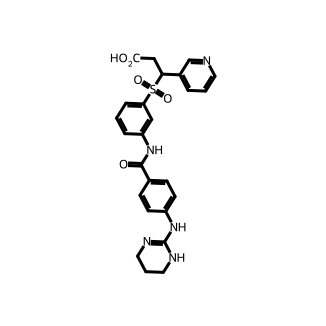 O=C(O)CC(c1cccnc1)S(=O)(=O)c1cccc(NC(=O)c2ccc(NC3=NCCCN3)cc2)c1